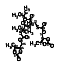 Cc1oc(=O)oc1COC(=O)SC[C@H](NC(=O)C(C)(C)SC(=O)OCc1oc(=O)oc1C)C(=O)OC(C)C